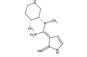 C[C@@H]1CCNC[C@@H]1N(C)/C(N)=C1\C=CNC1=N